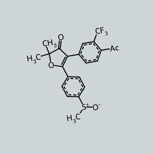 CC(=O)c1ccc(C2=C(c3ccc([S+](C)[O-])cc3)OC(C)(C)C2=O)cc1C(F)(F)F